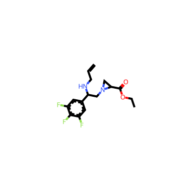 C=CCNC(CN1CC1C(=O)OCC)c1cc(F)c(F)c(F)c1